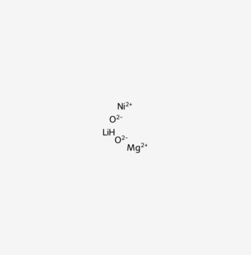 [LiH].[Mg+2].[Ni+2].[O-2].[O-2]